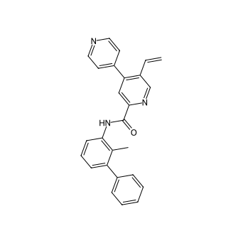 C=Cc1cnc(C(=O)Nc2cccc(-c3ccccc3)c2C)cc1-c1ccncc1